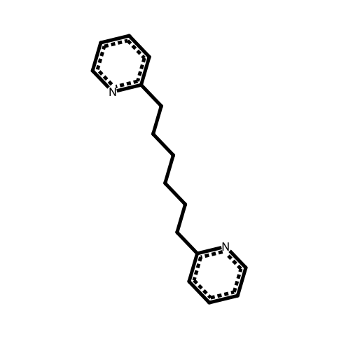 c1ccc(CCCCCCc2ccccn2)nc1